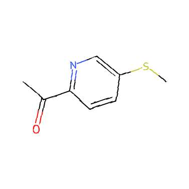 CSc1ccc(C(C)=O)nc1